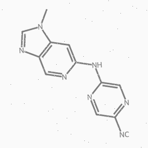 [C-]#[N+]c1cnc(Nc2cc3c(cn2)ncn3C)cn1